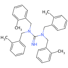 Cc1ccccc1CN(Cc1ccccc1C)C(=N)N(Cc1ccccc1C)Cc1ccccc1C